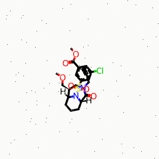 C#CCN1C[C@H](COC)[C@H]2CCC[C@@H](C1=O)N2S(=O)(=O)c1cc(Cl)cc(C(=O)OC)c1